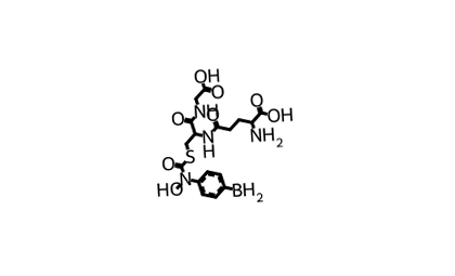 Bc1ccc(N(O)C(=O)SCC(NC(=O)CCC(N)C(=O)O)C(=O)NCC(=O)O)cc1